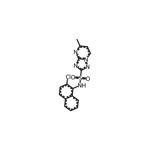 Cc1ccn2nc(S(=O)(=O)Nc3c(Cl)ccc4ccccc34)nc2n1